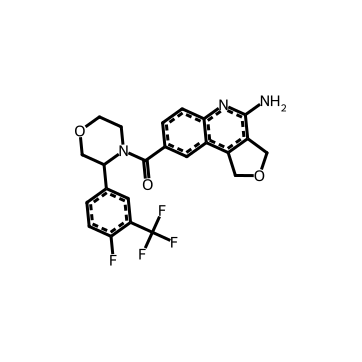 Nc1nc2ccc(C(=O)N3CCOCC3c3ccc(F)c(C(F)(F)F)c3)cc2c2c1COC2